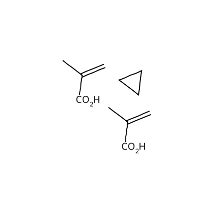 C1CC1.C=C(C)C(=O)O.C=C(C)C(=O)O